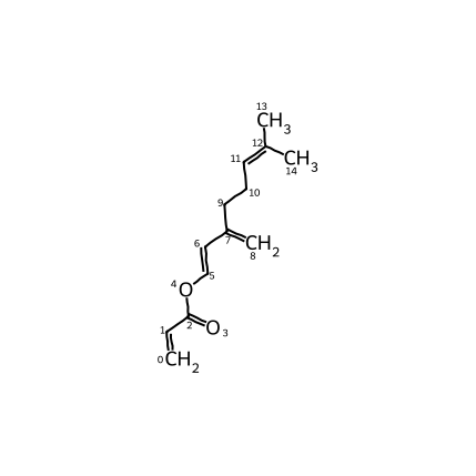 C=CC(=O)OC=CC(=C)CCC=C(C)C